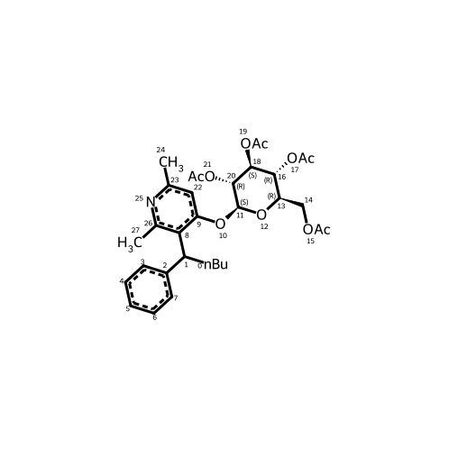 CCCCC(c1ccccc1)c1c(O[C@@H]2O[C@H](COC(C)=O)[C@@H](OC(C)=O)[C@H](OC(C)=O)[C@H]2OC(C)=O)cc(C)nc1C